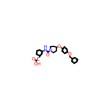 O=C(O)Cc1cccc(NC(=O)N2CCC(Oc3ccc(OCc4ccccc4)cc3)CC2)c1